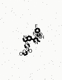 Cc1ncc(-c2ccc3nccc(N4CCN(C(=O)[C@@H]5CCC(=O)O5)CC4)c3c2)cc1NS(=O)(=O)c1ccc(F)cc1F